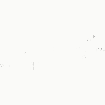 CCOC(OC)C(=O)OCCCOc1ccc(NC(=O)CCSC)cc1